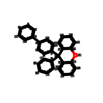 c1ccc(-c2ccc(C3(c4ccccc4)c4ccccc4Oc4ccccc43)cc2)cc1